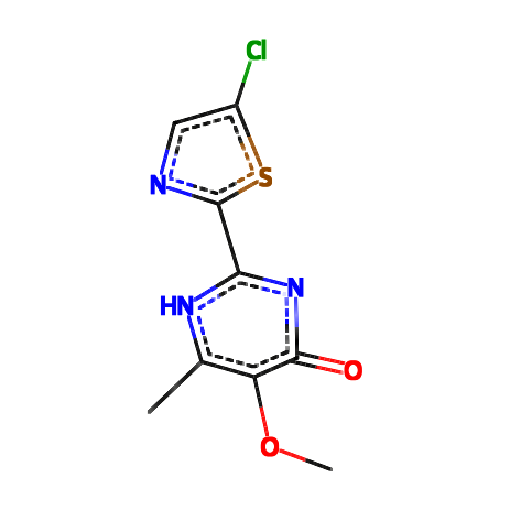 COc1c(C)[nH]c(-c2ncc(Cl)s2)nc1=O